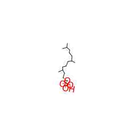 CC(C)CCCC(C)CCCC(C)CCOS(=O)(=O)O